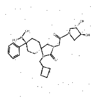 CN(C)[C@]1(c2ccccc2)CC[C@]2(CC1)CN(CC(=O)N1C[C@H](O)[C@@H](O)C1)C(=O)N2CC1CCC1